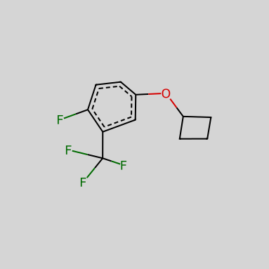 Fc1ccc(OC2CCC2)cc1C(F)(F)F